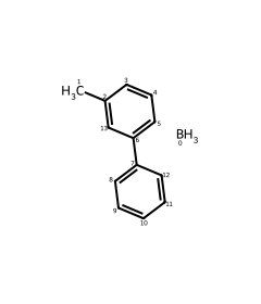 B.Cc1cccc(-c2ccccc2)c1